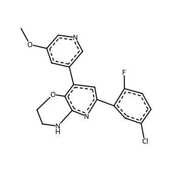 COc1cncc(-c2cc(-c3cc(Cl)ccc3F)nc3c2OCCN3)c1